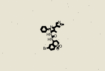 Cc1c(-c2cnn(C)c2)nn(-c2ccccc2)c1NC(=O)NC1CCS(=O)(=O)c2ccc(Br)cc21